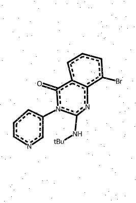 CC(C)(C)Nc1nc2c(Br)cccc2c(=O)n1-c1cccnc1